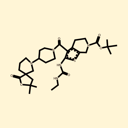 CCNC(=O)Nc1sc2c(c1C(=O)N1CCC(N3CCCC4(C3)CC(C)(C)OC4=O)CC1)CCN(C(=O)OC(C)(C)C)C2